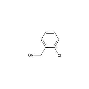 O=NCc1ccccc1Cl